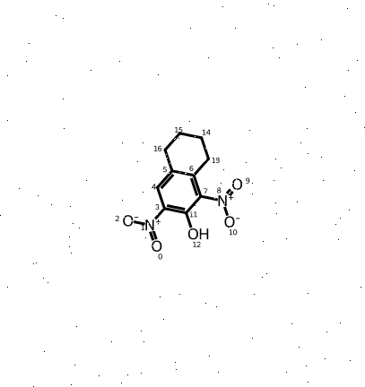 O=[N+]([O-])c1cc2c(c([N+](=O)[O-])c1O)CCCC2